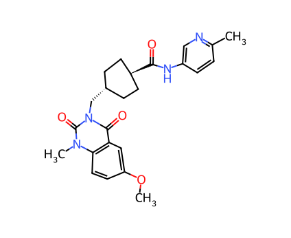 COc1ccc2c(c1)c(=O)n(C[C@H]1CC[C@H](C(=O)Nc3ccc(C)nc3)CC1)c(=O)n2C